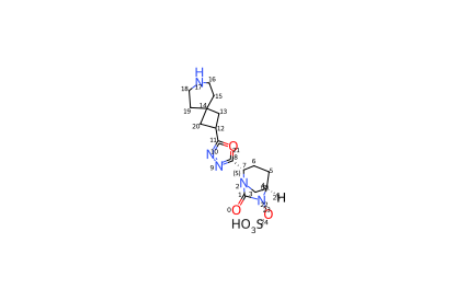 O=C1N2C[C@@H](CC[C@H]2c2nnc(C3CC4(CCNCC4)C3)o2)N1OS(=O)(=O)O